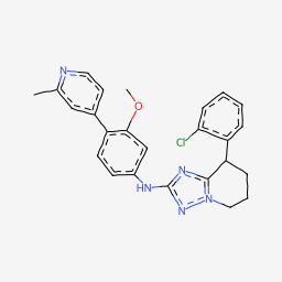 COc1cc(Nc2nc3n(n2)CCCC3c2ccccc2Cl)ccc1-c1ccnc(C)c1